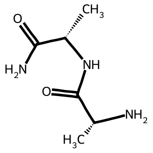 C[C@H](NC(=O)[C@@H](C)N)C(N)=O